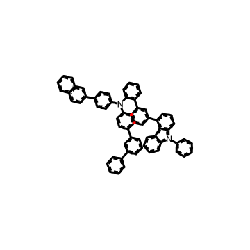 c1ccc(-c2cccc(-c3ccc(N(c4ccc(-c5ccc6ccccc6c5)cc4)c4ccccc4-c4cccc(-c5cccc6c5c5ccccc5n6-c5ccccc5)c4)cc3)c2)cc1